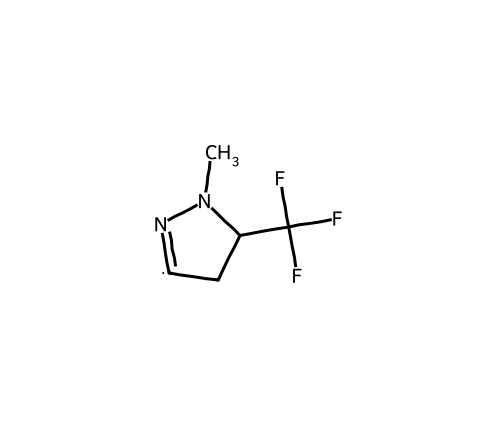 CN1N=[C]CC1C(F)(F)F